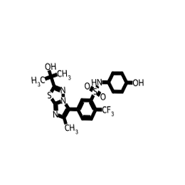 Cc1nc2sc(C(C)(C)O)nn2c1-c1ccc(C(F)(F)F)c(S(=O)(=O)NC2CCC(O)CC2)c1